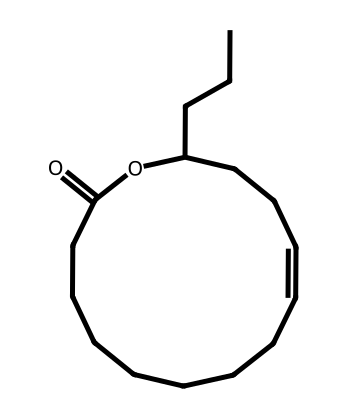 CCCC1CC/C=C\CCCCCCCC(=O)O1